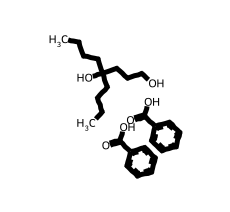 CCCCC(O)(CCCC)CCCO.O=C(O)c1ccccc1.O=C(O)c1ccccc1